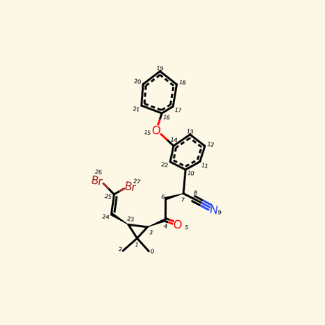 CC1(C)[C@H](C(=O)C[C@H](C#N)c2cccc(Oc3ccccc3)c2)[C@@H]1C=C(Br)Br